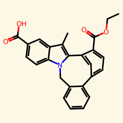 CCOC(=O)c1ccc2cc1-c1c(C)c3cc(C(=O)O)ccc3n1Cc1ccccc1-2